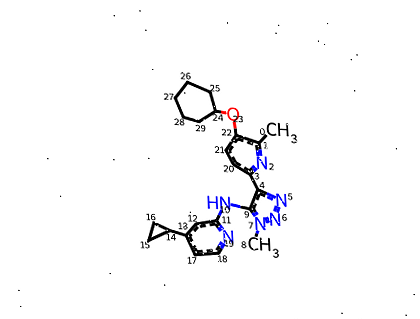 Cc1nc(-c2nnn(C)c2Nc2cc(C3CC3)ccn2)ccc1OC1CCCCC1